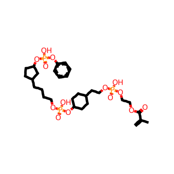 C=C(C)C(=O)OCCOP(=O)(O)OCCC1CCC(OP(=O)(O)OCCCCC2CCC(OP(=O)(O)Oc3ccccc3)C2)CC1